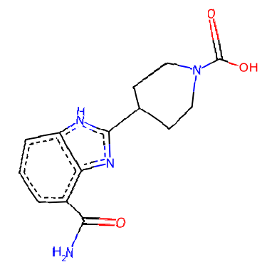 NC(=O)c1cccc2[nH]c(C3CCN(C(=O)O)CC3)nc12